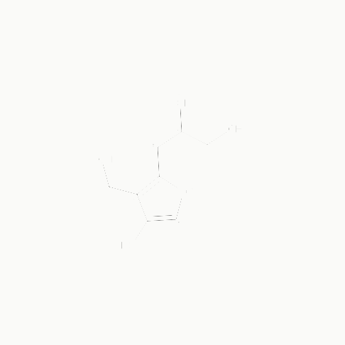 CCc1c(C)coc1CC(C)CC